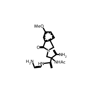 C=C(N)C(CN1Cc2ccc(OC)cc2C1=O)(NC(C)=O)C(=C)N/C=C\N